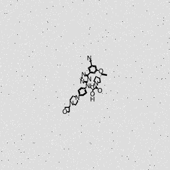 C=C(Oc1cc(C#N)cc(-c2ncnc(Nc3ccc(N4CCN(C5COC5)CC4)cc3)n2)c1)[C@H]1CCN(C(=O)[C@H](C)O)C1